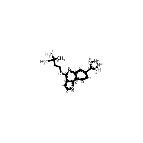 CC(C)(N)CCOc1nc2cc(-c3nnn[nH]3)ccc2c2sccc12